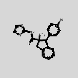 CC1(C(=O)Nc2nccs2)Cc2ccccc2C1c1ccc(Br)cc1